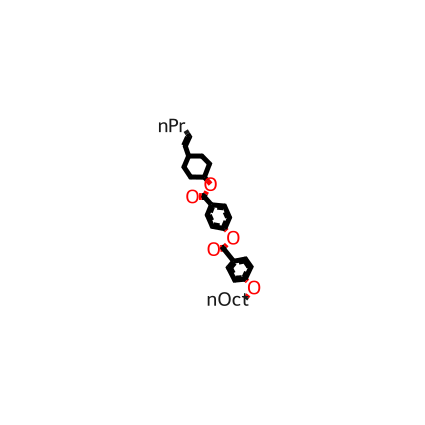 CCC/C=C/C1CCC(OC(=O)c2ccc(OC(=O)c3ccc(OCCCCCCCC)cc3)cc2)CC1